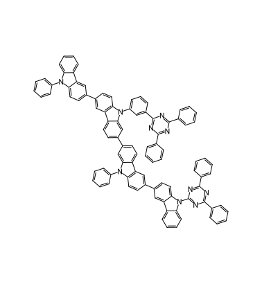 c1ccc(-c2nc(-c3ccccc3)nc(-c3cccc(-n4c5ccc(-c6ccc7c(c6)c6ccccc6n7-c6ccccc6)cc5c5ccc(-c6ccc7c8cc(-c9ccc%10c(c9)c9ccccc9n%10-c9nc(-c%10ccccc%10)nc(-c%10ccccc%10)n9)ccc8n(-c8ccccc8)c7c6)cc54)c3)n2)cc1